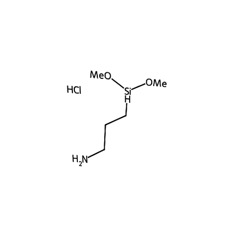 CO[SiH](CCCN)OC.Cl